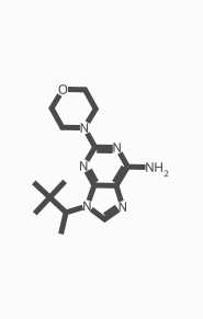 CC(n1cnc2c(N)nc(N3CCOCC3)nc21)C(C)(C)C